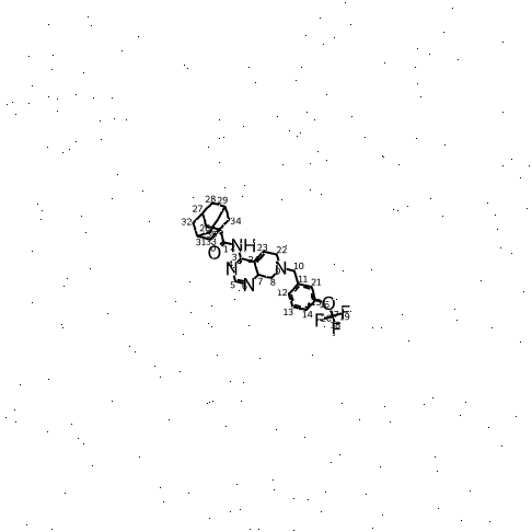 O=C(NC1=NC=NC2CN(Cc3cccc(OC(F)(F)F)c3)CC=C12)C12CC3CC(CC(C3)C1)C2